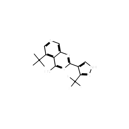 CC(C)(C)c1cncc2nc(-c3c[nH]nc3C(F)(F)F)nc(N)c12